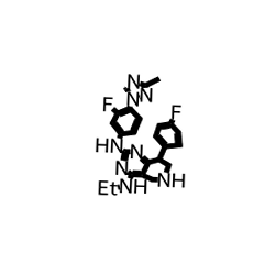 CCNc1nc(Nc2ccc(-n3cnc(C)n3)c(F)c2)nc2c1CNCC2c1ccc(F)cc1